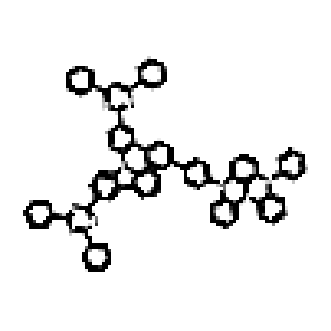 c1ccc(-c2cc(-c3ccccc3)nc(-c3ccc(-n4c5ccccc5c5cc(-c6nc(-c7ccccc7)nc(-c7ccccc7)n6)ccc54)c(-c4ccc(-c5ccc(N6c7ccccc7B7c8ccccc8N(c8ccccc8)c8cccc6c87)cc5)cc4)c3)n2)cc1